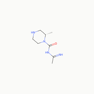 CC(=N)NC(=O)N1CCNC[C@@H]1C